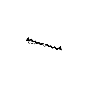 O=C(O)C1(CCCCCCCOCCCCCCC2CC2)CC1